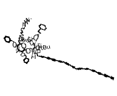 C#CC#CC#CC#CC#CC#CC#CC#CC#CC#CC#CC#CCC(=O)N[C@@H](CO[C@H]1OC(COCSSCN=[N+]=[N-])[C@H](OCc2ccccc2)[C@H](C)C1OCc1ccccc1)[C@H](O[Si](C)(C)C(C)(C)C)[C@@H](COCCC1CCCCC1)O[Si](C)(C)C(C)(C)C